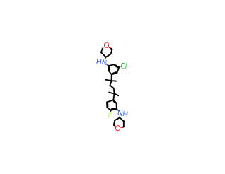 CC(C)(CCC(C)(C)c1ccc(F)c(NC2CCOCC2)c1)c1cc(Cl)cc(NC2CCOCC2)c1